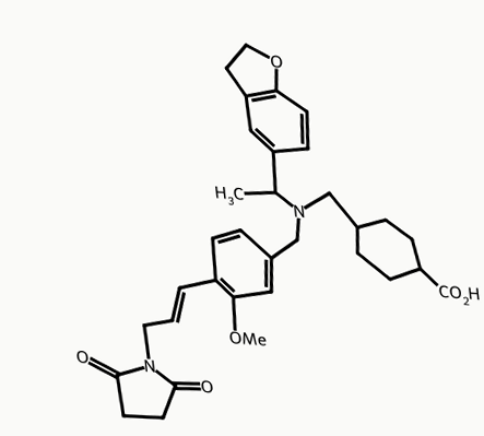 COc1cc(CN(CC2CCC(C(=O)O)CC2)C(C)c2ccc3c(c2)CCO3)ccc1C=CCN1C(=O)CCC1=O